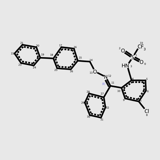 O=S(=O)(Nc1ccc(Cl)cc1/C(=N/OCc1ccc(-c2ccccc2)cc1)c1ccccc1)C(F)(F)F